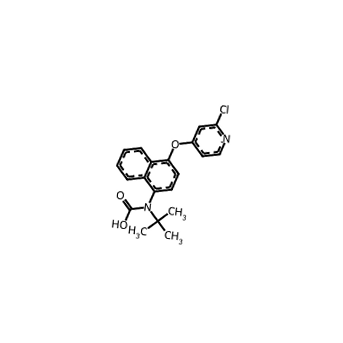 CC(C)(C)N(C(=O)O)c1ccc(Oc2ccnc(Cl)c2)c2ccccc12